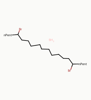 B.CCCCCC(Br)CCCCCCCCCCC(Br)CCCCC